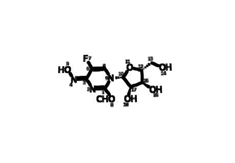 O=Cc1nc(=NO)c(F)cn1[C@@H]1O[C@H](CO)[C@@H](O)[C@H]1O